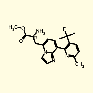 COC(=O)[C@@H](N)Cc1ccc(-c2nc(C)ccc2C(F)(F)F)c2nccn12